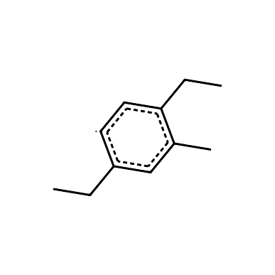 CCc1[c]cc(CC)c(C)c1